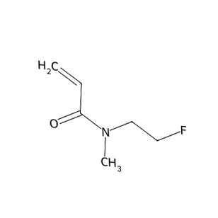 C=CC(=O)N(C)CCF